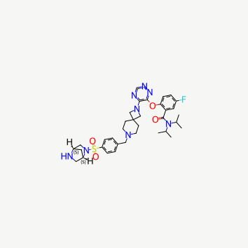 CC(C)N(C(=O)c1cc(F)ccc1Oc1nncnc1N1CC2(CCN(Cc3ccc(S(=O)(=O)N4C[C@@H]5C[C@H]4CN5)cc3)CC2)C1)C(C)C